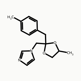 Cc1ccc(CC2(Cn3ccnc3)OCC(C)O2)cc1